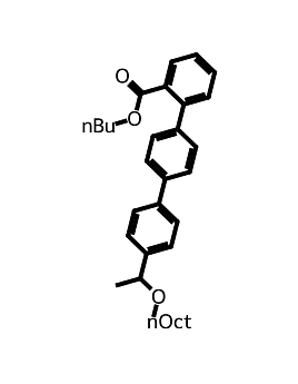 CCCCCCCCOC(C)c1ccc(-c2ccc(-c3ccccc3C(=O)OCCCC)cc2)cc1